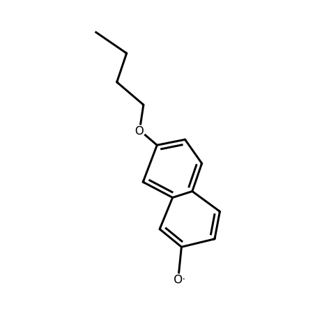 CCCCOc1ccc2ccc([O])cc2c1